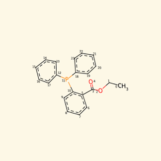 CCOC(=O)c1ccccc1P(c1ccccc1)c1ccccc1